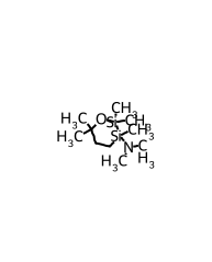 CN(C)[Si]1(C)CCC(C)(C)O[Si]1(C)C